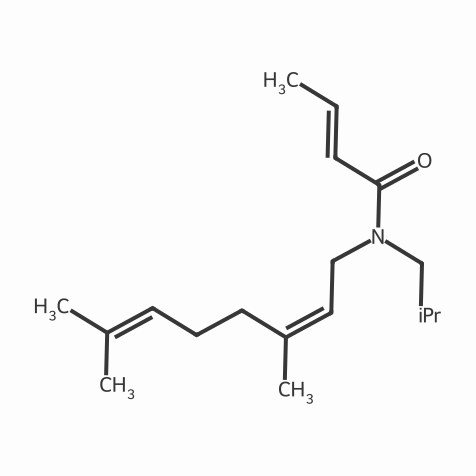 C/C=C/C(=O)N(C/C=C(/C)CCC=C(C)C)CC(C)C